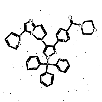 O=C(c1ccc(-c2nn(C(c3ccccc3)(c3ccccc3)c3ccccc3)cc2-c2ccc3ncc(-c4ccccn4)n3c2)cc1)N1CCOCC1